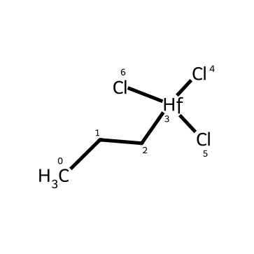 CC[CH2][Hf]([Cl])([Cl])[Cl]